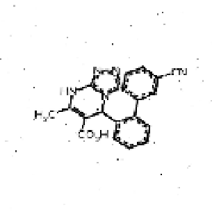 CC1=C(C(=O)O)C(c2ccccc2-c2cccc(C#N)c2)n2nnnc2N1